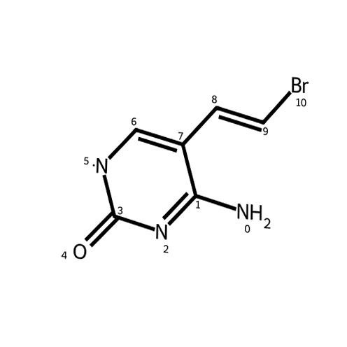 NC1=NC(=O)[N]C=C1C=CBr